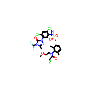 COCCN(C(=O)CCl)c1c(C)cccc1C.Cc1nn(-c2cc(NS(C)(=O)=O)c(Cl)cc2Cl)c(=O)n1C(F)F